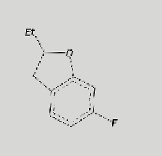 CCC1Cc2ccc(F)cc2O1